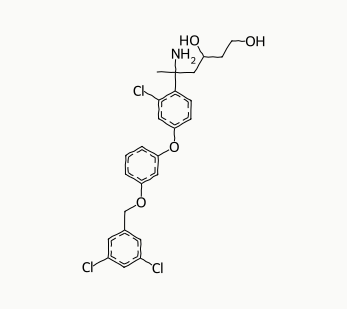 CC(N)(CC(O)CCO)c1ccc(Oc2cccc(OCc3cc(Cl)cc(Cl)c3)c2)cc1Cl